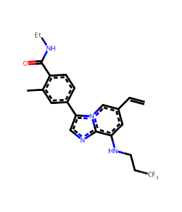 C=Cc1cc(NCCC(F)(F)F)c2ncc(-c3ccc(C(=O)NCC)c(C)c3)n2c1